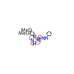 COc1ccc2c(c1OC)CCN1C(=O)[C@@H]3CCCN(C(=O)NCCc4ccccc4)[C@@H]3C[C@@H]21